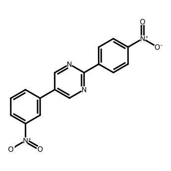 O=[N+]([O-])c1ccc(-c2ncc(-c3cccc([N+](=O)[O-])c3)cn2)cc1